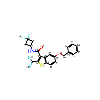 O=C(NC1CC(F)(F)C1)c1c(C(F)F)sc2ccc(OCc3ccccc3)cc12